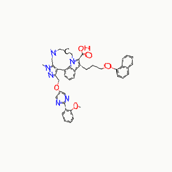 COc1ccccc1-c1ncc(OCc2nn(C)c3c2-c2cccc4c(CCCOc5cccc6ccccc56)c(C(=O)O)n(c24)CCCN(C)C3)cn1